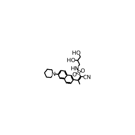 CC(=C(C#N)S(=O)(=O)NCC(O)CO)c1ccc2cc(N3CCCCC3)ccc2c1